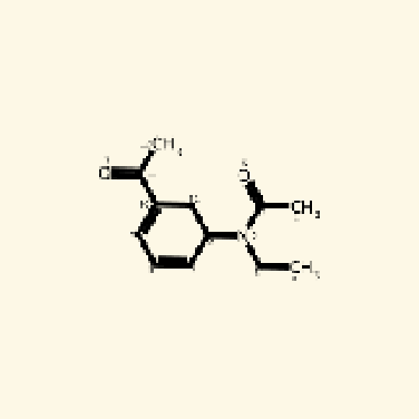 CCN(C(C)=O)C1C=CC=C(C(C)=O)C1